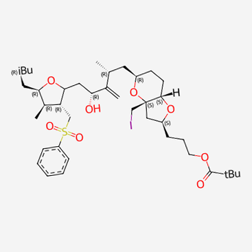 C=C([C@H](C)C[C@H]1CC[C@@H]2O[C@@H](CCCOC(=O)C(C)(C)C)C[C@]2(CI)O1)[C@H](O)CC1O[C@H](C[C@H](C)CC)[C@H](C)[C@H]1CS(=O)(=O)c1ccccc1